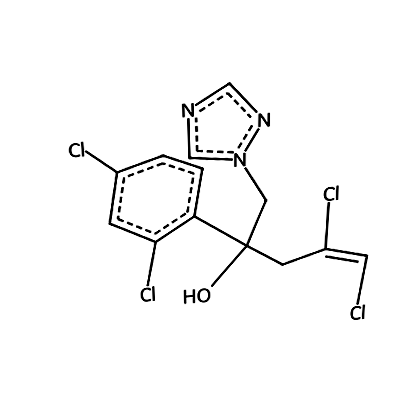 OC(C/C(Cl)=C\Cl)(Cn1cncn1)c1ccc(Cl)cc1Cl